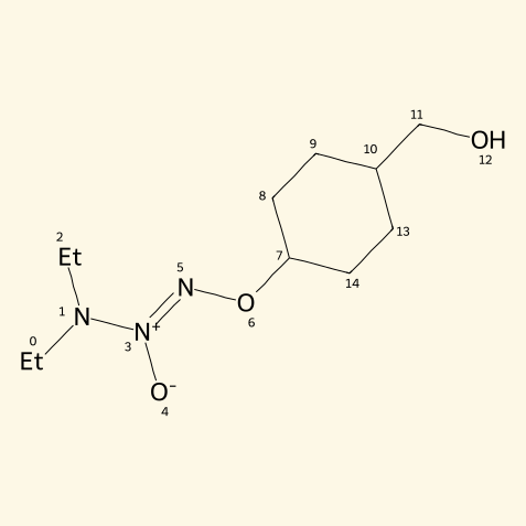 CCN(CC)/[N+]([O-])=N/OC1CCC(CO)CC1